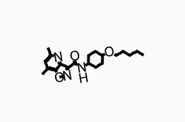 CCCCCOC1CCC(NC(=O)c2noc3c(C)cc(C)nc23)CC1